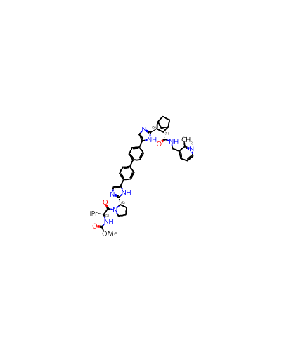 COC(=O)N[C@H](C(=O)N1CCC[C@H]1c1ncc(-c2ccc(-c3ccc(-c4cnc([C@H]5C6CCC(C6)[C@@H]5C(=O)NCc5cccnc5C)[nH]4)cc3)cc2)[nH]1)C(C)C